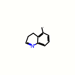 [CH2]c1cccc2c1CCC=N2